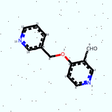 O=Cc1cnccc1OCc1cccnc1